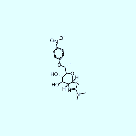 C[C@@H](Oc1ccc([N+](=O)[O-])cc1)[C@H]1O[C@@H]2SC(N(C)C)=N[C@@H]2[C@@H](O)[C@@H]1O